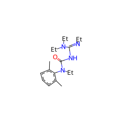 CCN=C(NC(=O)N(CC)c1c(C)cccc1C)N(CC)CC